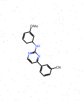 COC1=CC(Nc2nccc(-c3cccc(C#N)c3)n2)CC=C1